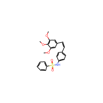 COc1cc(/C=C\c2ccc(NS(=O)(=O)c3ccccc3)cc2)cc(OC)c1OC